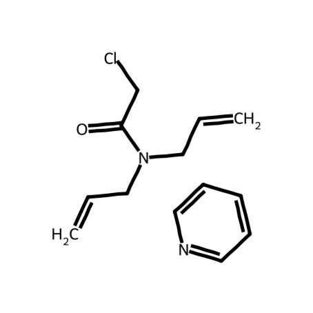 C=CCN(CC=C)C(=O)CCl.c1ccncc1